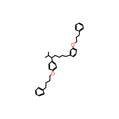 CC(C)C(CCCCc1cccc(OCCCc2ccccc2)c1)c1ccc(OCCCCc2ccccc2)cc1